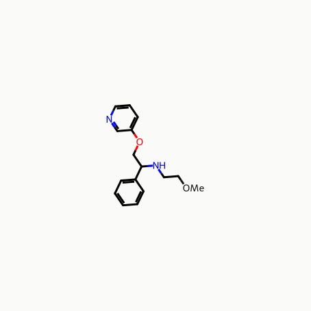 COCCNC(COc1cccnc1)c1ccccc1